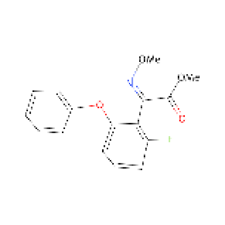 CON=C(C(=O)OC)c1c(F)cccc1Oc1ccccc1